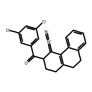 [N-]=[N+]=C1C2=C(CCc3ccccc32)CCC1C(=O)c1cc(Cl)cc(Cl)c1